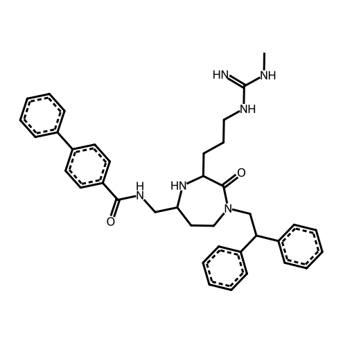 CNC(=N)NCCCC1NC(CNC(=O)c2ccc(-c3ccccc3)cc2)CCN(CC(c2ccccc2)c2ccccc2)C1=O